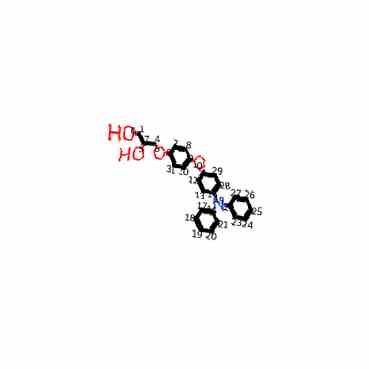 OCC(O)COc1ccc(Oc2ccc(N(c3ccccc3)c3ccccc3)cc2)cc1